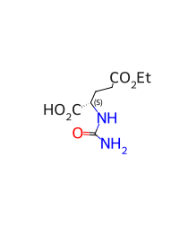 CCOC(=O)CC[C@H](NC(N)=O)C(=O)O